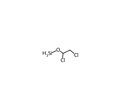 [SiH3]OC(Cl)CCl